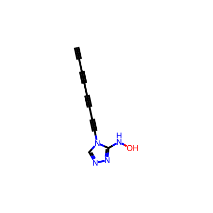 C#CC#CC#CC#Cn1cnnc1NO